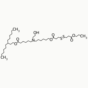 CCCCCCC(CCCCCC)CCOC(=O)CCCCCN(CCO)CCCCCCOC(=O)CCSSCCC(=O)OCCC